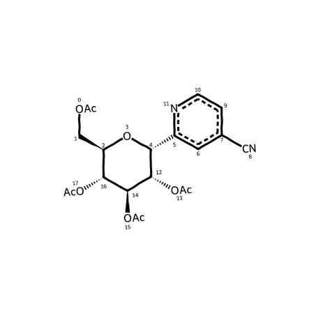 CC(=O)OC[C@H]1O[C@H](c2cc(C#N)ccn2)[C@H](OC(C)=O)[C@@H](OC(C)=O)[C@@H]1OC(C)=O